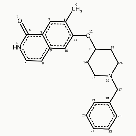 Cc1cc2c(=O)[nH]ccc2cc1OC1CCN(Cc2ccccc2)CC1